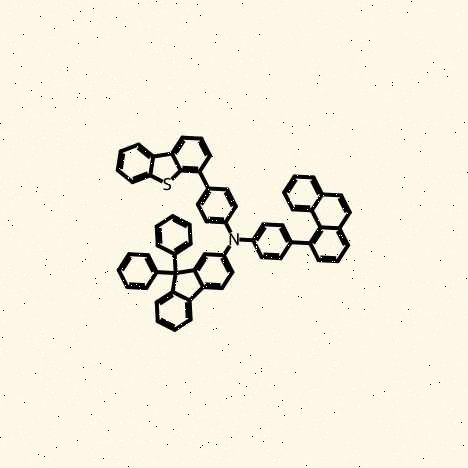 c1ccc(C2(c3ccccc3)c3ccccc3-c3ccc(N(c4ccc(-c5cccc6c5sc5ccccc56)cc4)c4ccc(-c5cccc6ccc7ccccc7c56)cc4)cc32)cc1